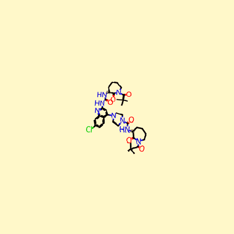 CC(C)(C)C(=O)N1CCCC[C@H](NC(=O)N2CCN(c3cc(NC(=O)N[C@@H]4CCCCN(C(=O)C(C)(C)C)C4=O)nc4cc(Cl)ccc34)CC2)C1=O